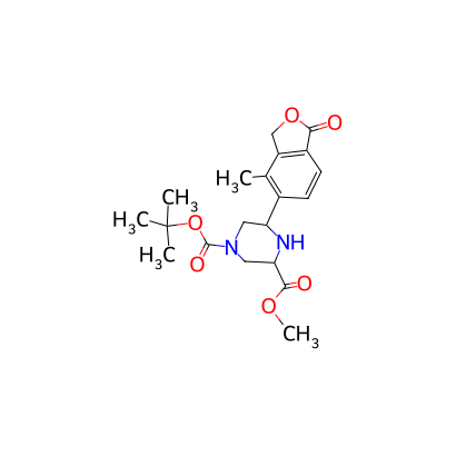 COC(=O)C1CN(C(=O)OC(C)(C)C)CC(c2ccc3c(c2C)COC3=O)N1